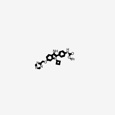 CC(C)OC(=O)Nc1ccc(-c2c(N)c3ccc(OCc4ncncn4)cc3n2C2CCC2)cc1